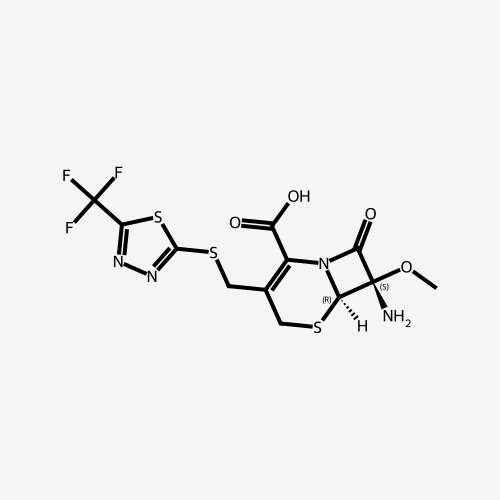 CO[C@@]1(N)C(=O)N2C(C(=O)O)=C(CSc3nnc(C(F)(F)F)s3)CS[C@@H]21